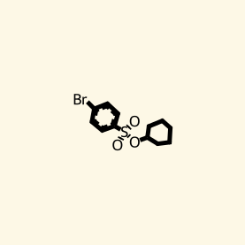 O=S(=O)(OC1CCCCC1)c1ccc(Br)cc1